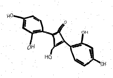 O=C1C(c2ccc(O)cc2O)=C(O)C1c1ccc(O)cc1O